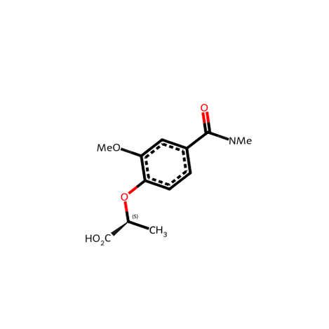 CNC(=O)c1ccc(O[C@@H](C)C(=O)O)c(OC)c1